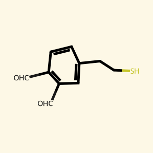 O=Cc1ccc(CCS)cc1C=O